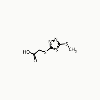 CSc1nnc(SCC(=O)O)s1